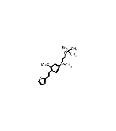 COc1cc(N(C)CCO[Si](C)(C)C(C)(C)C)ccc1/C=C/c1cccs1